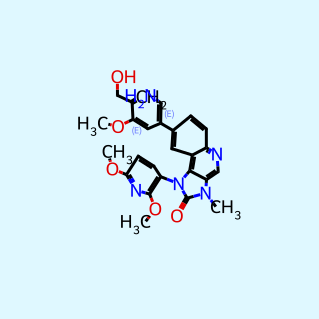 C=C(CO)/C(=C\C(=C/N)c1ccc2ncc3c(c2c1)n(-c1ccc(OC)nc1OC)c(=O)n3C)OC